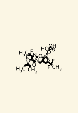 C=C/C(=C\C)Oc1c(C(C)(F)F)ncn(Cc2cc(C(C)(F)F)nn(COP(=O)(O)O)c2=O)c1=O